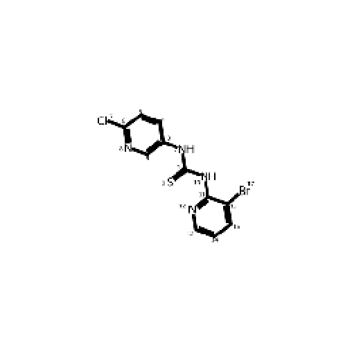 S=C(Nc1ccc(Cl)nc1)Nc1ncccc1Br